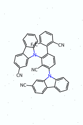 N#Cc1ccc2c3ccccc3n(-c3ccc(-c4c(C#N)cccc4C(F)(F)F)c(-n4c5ccccc5c5ccc(C#N)cc54)c3C#N)c2c1